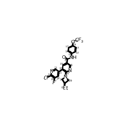 CCC1CN(c2ncc(C(=O)Nc3ccc(OC(F)(F)F)cc3)cc2-c2cnc(Cl)c(F)c2)C1